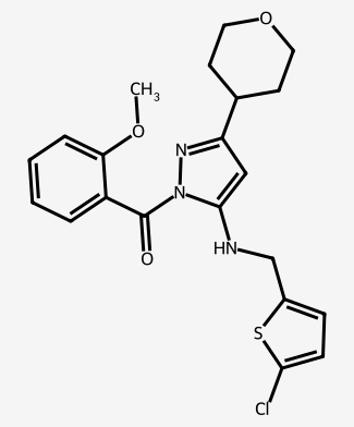 COc1ccccc1C(=O)n1nc(C2CCOCC2)cc1NCc1ccc(Cl)s1